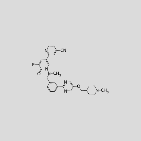 CB(Cc1cccc(-c2ncc(OCC3CCN(C)CC3)cn2)c1)n1cc(-c2cc(C#N)ccn2)cc(F)c1=O